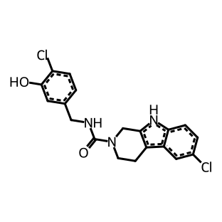 O=C(NCc1ccc(Cl)c(O)c1)N1CCc2c([nH]c3ccc(Cl)cc23)C1